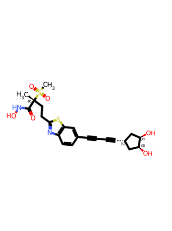 C[C@@](CCc1nc2ccc(C#CC#C[C@@H]3C[C@@H](O)[C@@H](O)C3)cc2s1)(C(=O)NO)S(C)(=O)=O